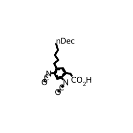 CCCCCCCCCCCCCCCc1cc(CC(=O)O)c(N=C=O)cc1N=C=O